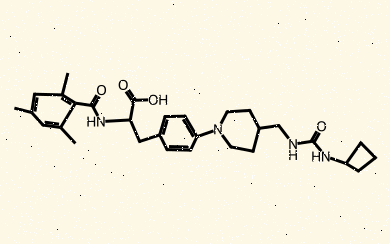 Cc1cc(C)c(C(=O)NC(Cc2ccc(N3CCC(CNC(=O)NC4CCC4)CC3)cc2)C(=O)O)c(C)c1